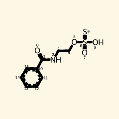 O=C(NCCOS(=O)(O)=S)c1ccccc1